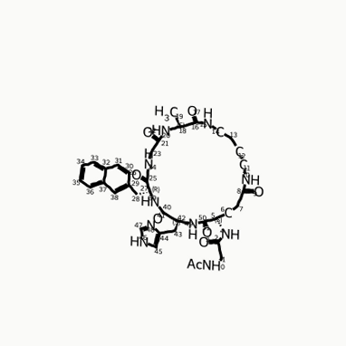 CC(=O)NCC(=O)N[C@H]1CCC(=O)NCCCCNC(=O)[C@H](C)NC(=O)CNC(=O)[C@@H](Cc2ccc3ccccc3c2)NC(=O)[C@H](Cc2c[nH]cn2)NC1=O